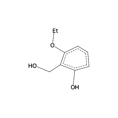 CCOc1cccc(O)c1CO